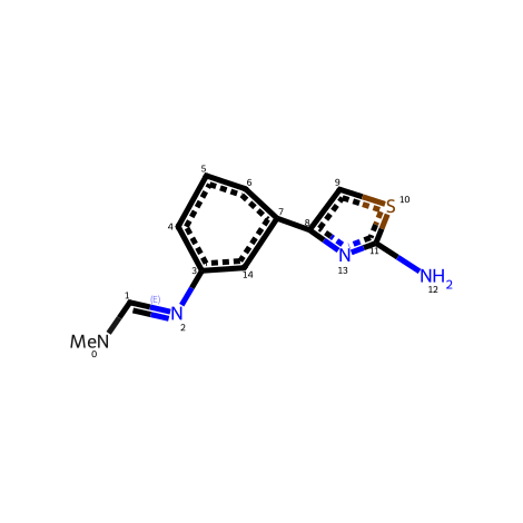 CN/C=N/c1cccc(-c2csc(N)n2)c1